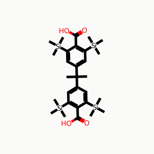 CC(C)(c1cc([Si](C)(C)C)c(C(=O)O)c([Si](C)(C)C)c1)c1cc([Si](C)(C)C)c(C(=O)O)c([Si](C)(C)C)c1